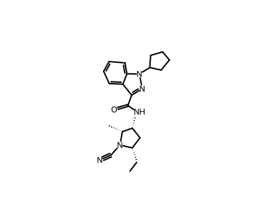 CC[C@H]1C[C@@H](NC(=O)c2nn(C3CCCC3)c3ccccc23)[C@@H](C)N1C#N